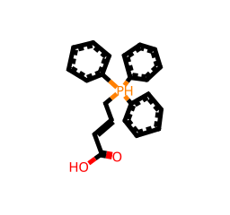 O=C(O)C=CC[PH](c1ccccc1)(c1ccccc1)c1ccccc1